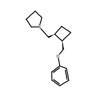 c1ccc(OC[C@@H]2CC[C@@H]2CN2CCCC2)cc1